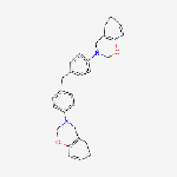 C1=CC2=C(CC1)CN(c1ccc(Cc3ccc(N4COC5=C(CCC=C5)C4)cc3)cc1)CO2